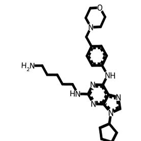 NCCCCCNc1nc(Nc2ccc(CN3CCOCC3)cc2)c2ncn(C3CCCC3)c2n1